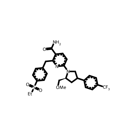 CCS(=O)(=O)c1ccc(Cc2nc(N3CC(c4ccc(C(F)(F)F)cc4)C[C@H]3COC)ccc2C(N)=O)cc1